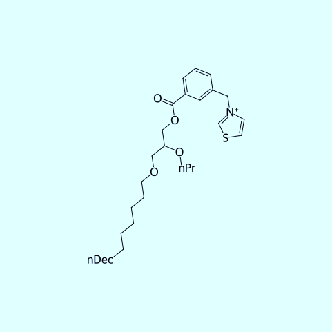 CCCCCCCCCCCCCCCCOCC(COC(=O)c1cccc(C[n+]2ccsc2)c1)OCCC